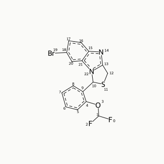 FC(F)Oc1ccccc1C1SCc2nc3ccc(Br)cc3n21